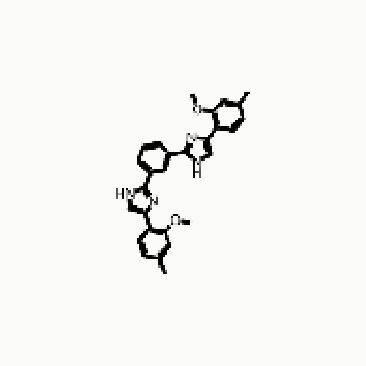 COc1cc(C)ccc1-c1c[nH]c(-c2cccc(-c3nc(-c4ccc(C)cc4OC)c[nH]3)c2)n1